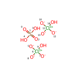 O=S(=O)(O)O.[O-][Cl+3]([O-])([O-])O.[O-][Cl+3]([O-])([O-])O